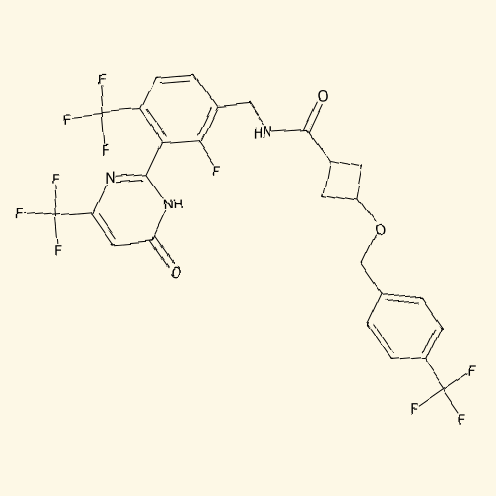 O=C(NCc1ccc(C(F)(F)F)c(-c2nc(C(F)(F)F)cc(=O)[nH]2)c1F)C1CC(OCc2ccc(C(F)(F)F)cc2)C1